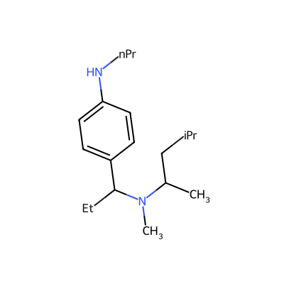 CCCNc1ccc(C(CC)N(C)C(C)CC(C)C)cc1